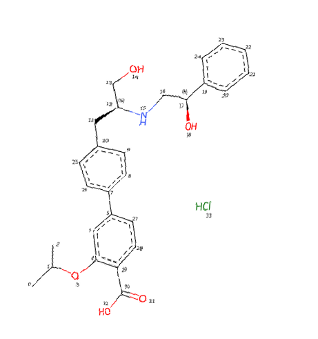 CC(C)Oc1cc(-c2ccc(C[C@@H](CO)NC[C@H](O)c3ccccc3)cc2)ccc1C(=O)O.Cl